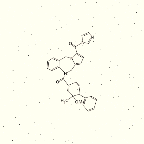 COC1(C)C=C(C(=O)N2Cc3ccc(C(=O)n4ccnc4)n3Cc3ccccc32)C=CC1c1ccccc1